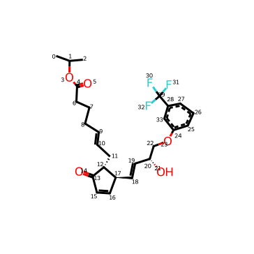 CC(C)OC(=O)CCCC=CC[C@H]1C(=O)C=C[C@@H]1C=C[C@@H](O)COc1cccc(C(F)(F)F)c1